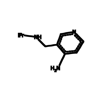 CC(C)NCc1cnccc1N